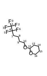 FC(F)(F)C(F)(F)CCCCOC1CCCCO1